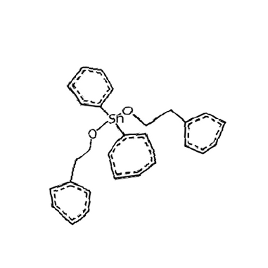 c1ccc(CC[O][Sn]([O]CCc2ccccc2)([c]2ccccc2)[c]2ccccc2)cc1